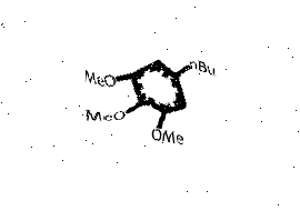 CCCCc1cc(OC)c(OC)c(OC)c1